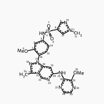 COc1cc(NS(=O)(=O)c2cnn(C)c2)ccc1-n1nc(C)c2cnc(Nc3nccnc3OC)cc21